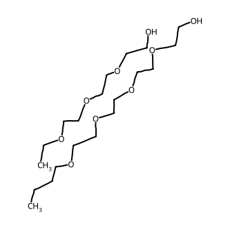 CCCCOCCOCCOCCOCCO.CCOCCOCCOCCO